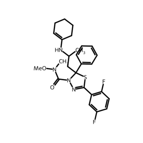 CON(C)C(=O)N1N=C(c2cc(F)ccc2F)SC1(CC(C)NC1=CCCCC1)c1ccccc1